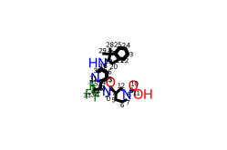 CN(C(=O)C1CCCN(C(=O)O)C1)[C@@H](c1ccc(NC2Cc3ccccc3C2(C)C)cn1)C(F)(F)F